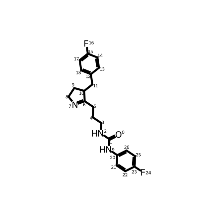 O=C(NCCCC1=NCCC1Cc1ccc(F)cc1)Nc1ccc(F)cc1